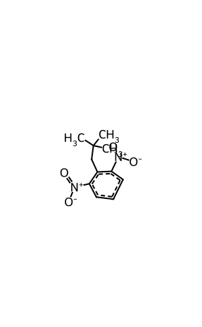 CC(C)(C)Cc1c([N+](=O)[O-])cccc1[N+](=O)[O-]